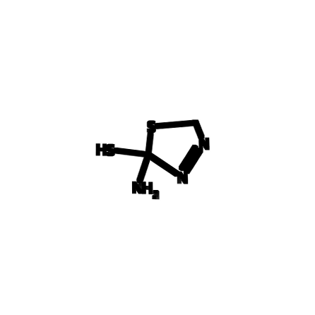 NC1(S)N=NCS1